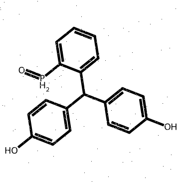 O=[PH2]c1ccccc1C(c1ccc(O)cc1)c1ccc(O)cc1